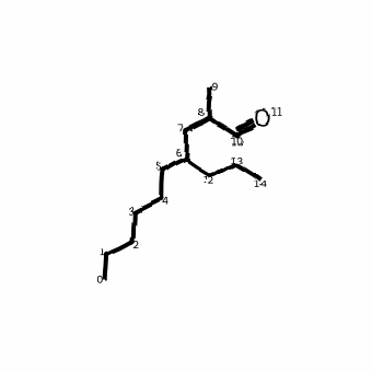 CCCCCCC([CH]C(C)C=O)CCC